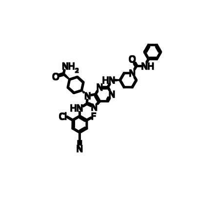 N#Cc1cc(F)c(Nc2nc3cnc(N[C@@H]4CCCN(C(=O)Nc5ccccc5)C4)nc3n2[C@H]2CC[C@H](C(N)=O)CC2)c(Cl)c1